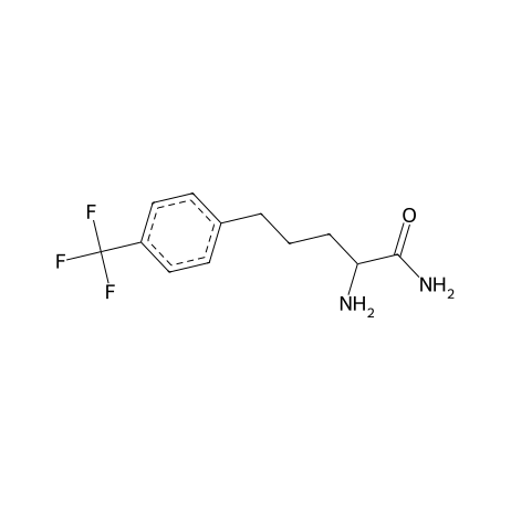 NC(=O)C(N)CCCc1ccc(C(F)(F)F)cc1